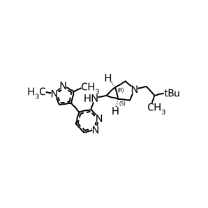 Cc1nn(C)cc1-c1ccnnc1NC1[C@H]2CN(CC(C)C(C)(C)C)C[C@@H]12